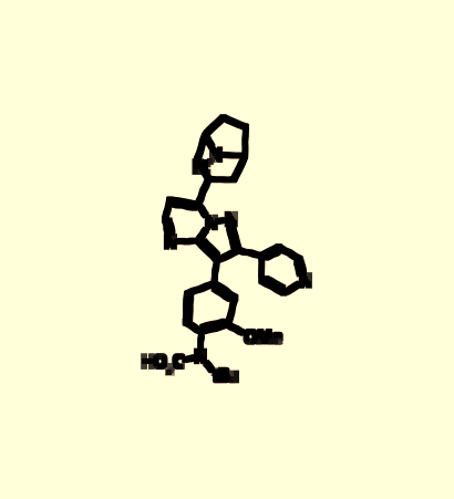 CCN1C2CCC1CC(c1ccnc3c(-c4ccc(N(C(=O)O)C(C)(C)C)c(OC)c4)c(-c4ccncc4)nn13)C2